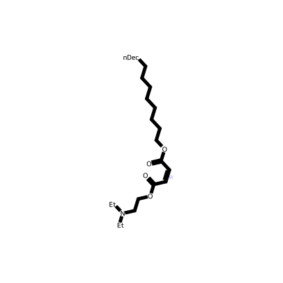 CCCCCCCCCCCCCCCCCCOC(=O)/C=C\C(=O)OCCN(CC)CC